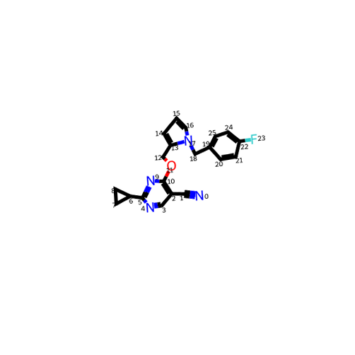 N#Cc1cnc(C2CC2)nc1OCc1cccn1Cc1ccc(F)cc1